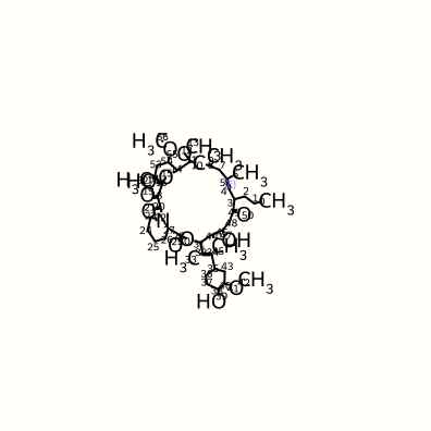 CCCC1/C=C(\C)CC(C)CC(OC)C2OC(O)(C(=O)C(=O)N3CCCCC3C(=O)OC(C(C)=CC3CCC(O)C(OC)C3)C(C)C(O)CC1=O)C(C)CC2OC